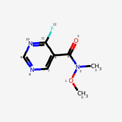 CON(C)C(=O)c1cncnc1F